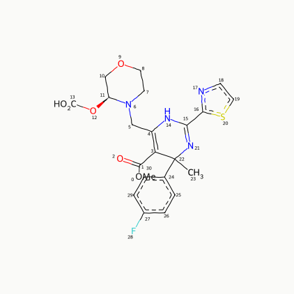 COC(=O)C1=C(CN2CCOC[C@@H]2OC(=O)O)NC(c2nccs2)=NC1(C)c1ccc(F)cc1